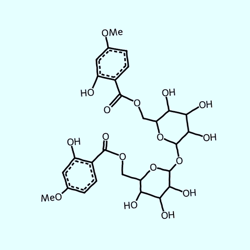 COc1ccc(C(=O)OCC2OC(OC3OC(COC(=O)c4ccc(OC)cc4O)C(O)C(O)C3O)C(O)C(O)C2O)c(O)c1